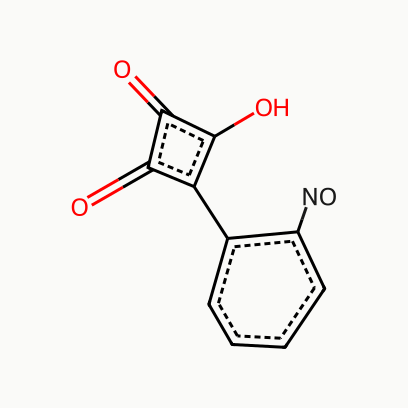 O=Nc1ccccc1-c1c(O)c(=O)c1=O